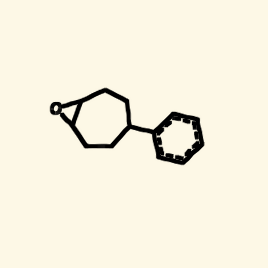 c1ccc(C2CCC3OC3CC2)cc1